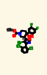 CC(C)(C)OC(=O)N1CC[C@](O)(c2ccc(F)c(F)c2)[C@@H](c2onc(-c3c(Cl)cccc3Cl)c2Br)C1